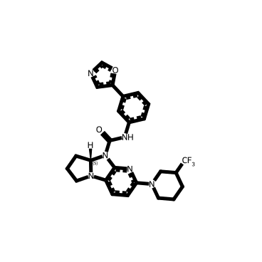 O=C(Nc1cccc(-c2cnco2)c1)N1c2nc(N3CCCC(C(F)(F)F)C3)ccc2N2CCC[C@@H]21